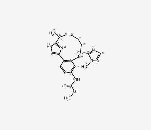 COC(=O)Nc1ccc2c(c1)N[C@@H](c1nccn1C)CCCC[C@H](N)c1nc-2c[nH]1